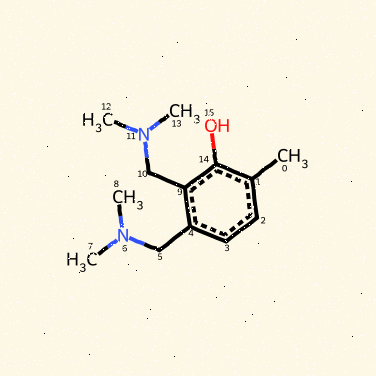 Cc1ccc(CN(C)C)c(CN(C)C)c1O